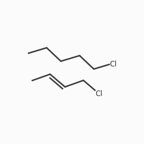 CC=CCCl.CCCCCCl